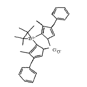 CC1=[C]([Zr+2]2([C]3=C(C)C(c4ccccc4)=CC3C)[C](C)(C)[C]2(C)C)C(C)C=C1c1ccccc1.[Cl-].[Cl-]